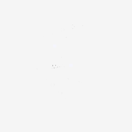 C#CC#COc1ccc(-c2cc(C)ccc2/C=C/c2cc(-c3ccc(OC#CC#C)c(OC#CC#C)c3)c(/C=C/C)cc2OC)cc1OC#CC#C